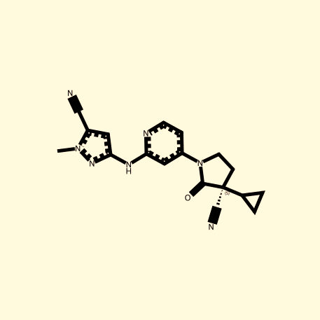 Cn1nc(Nc2cc(N3CC[C@@](C#N)(C4CC4)C3=O)ccn2)cc1C#N